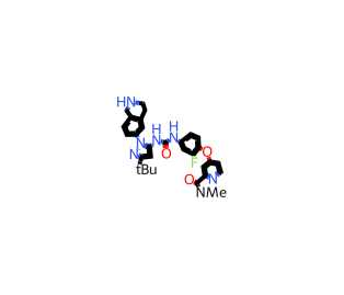 CNC(=O)c1cc(Oc2ccc(NC(=O)Nc3cc(C(C)(C)C)nn3-c3ccc4c(c3)CCNC4)cc2F)ccn1